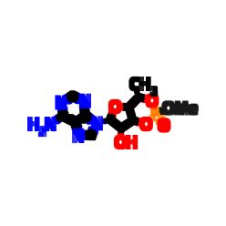 COP1(=O)OC2C(O[C@@H](n3cnc4c(N)ncnc43)[C@@H]2O)[C@H](C)O1